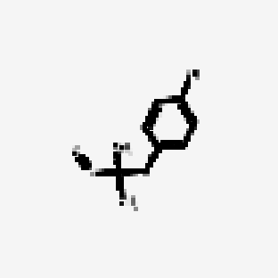 CC(C)(Cc1ccc(O)cc1)P=O